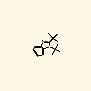 CC(C)(C)c1nc2ccccc2n1C(C)(C)C